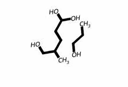 CC(CO)CCC(O)O.CCCO